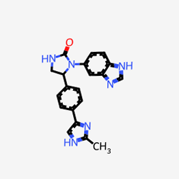 Cc1nc(-c2ccc(C3CNC(=O)N3c3ccc4[nH]cnc4c3)cc2)c[nH]1